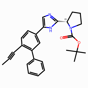 CC#Cc1ccc(-c2cnc([C@@H]3CCCN3C(=O)OC(C)(C)C)[nH]2)cc1-c1ccccc1